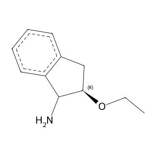 CCO[C@@H]1Cc2ccccc2C1N